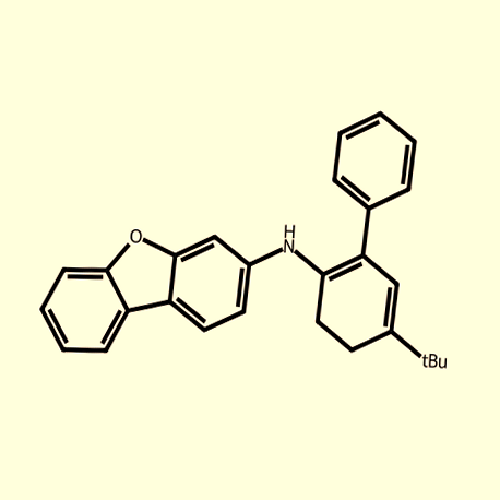 CC(C)(C)C1=CC(c2ccccc2)=C(Nc2ccc3c(c2)oc2ccccc23)CC1